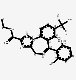 CCOC(=O)c1nc2n(n1)-c1ccc(C(F)(F)F)c(Cl)c1C(c1c(F)cccc1F)=NC2